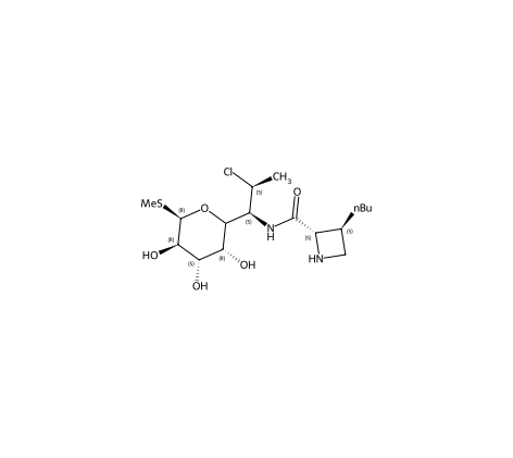 CCCC[C@H]1CN[C@@H]1C(=O)N[C@@H](C1O[C@H](SC)[C@H](O)[C@@H](O)[C@H]1O)[C@H](C)Cl